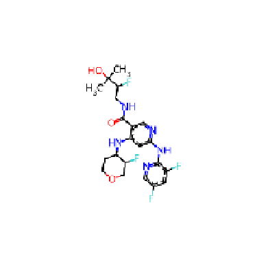 CC(C)(O)C(F)CNC(=O)c1cnc(Nc2ncc(F)cc2F)cc1NC1CCOCC1F